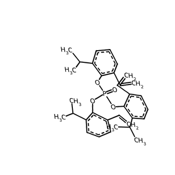 C=Cc1cccc(C(C)C)c1OP(=O)(Oc1c(C=C)cccc1C(C)C)Oc1c(C=C)cccc1C(C)C